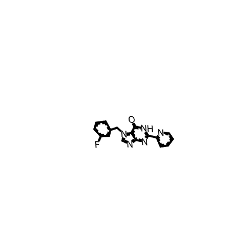 O=c1[nH]c(-c2ccccn2)nc2ncn(Cc3cccc(F)c3)c12